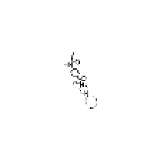 C=CC(=O)Nc1ccc(S(=O)(=O)N2CCN(C3CCCCCCC3)CC2)cc1